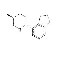 C[C@H]1CC[C@H](c2cccc3c2CCO3)NC1